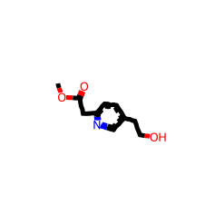 COC(=O)Cc1ccc(CCO)cn1